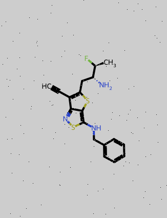 C#Cc1c(C[C@@H](N)[C@H](C)F)sc2c(NCc3ccccc3)snc12